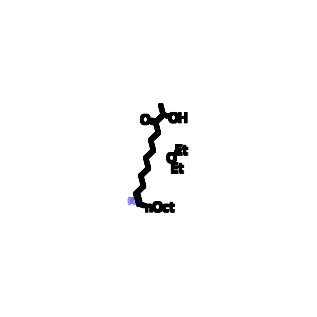 CCCCCCCC/C=C\CCCCCCCC(=O)C(C)O.CCOCC